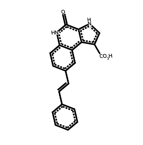 O=C(O)c1c[nH]c2c(=O)[nH]c3ccc(C=Cc4ccccc4)cc3c12